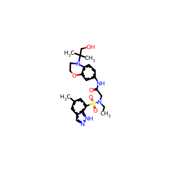 CCN(CC(=O)Nc1ccc2c(c1)OCCN2C(C)(C)CO)S(=O)(=O)c1cc(C)cc2cn[nH]c12